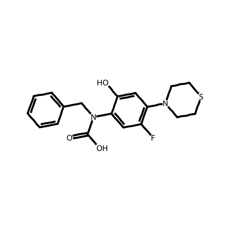 O=C(O)N(Cc1ccccc1)c1cc(F)c(N2CCSCC2)cc1O